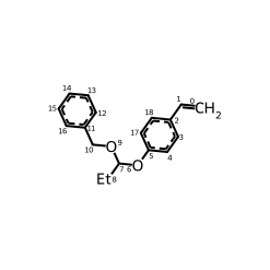 C=Cc1ccc(OC(CC)OCc2ccccc2)cc1